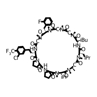 CC[C@H](C)[C@@H]1NC(=O)[C@H](CC(C)C)N(C)C(=O)C[C@@H](C)N(C)C(=O)[C@H](C(C)C)N(C)C(=O)C2(CCCC2)NC(=O)[C@@H]2CCCN2C(=O)[C@H](CCc2ccc(C(F)(F)F)c(Cl)c2)NC(=O)CN(C)C(=O)[C@H](Cc2ccccc2F)N(C)C(=O)CN(C)C(=O)CN(C)C1=O